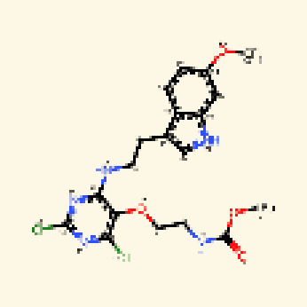 CC(C)(C)OC(=O)NCCOc1c(Cl)nc(Cl)nc1NCCc1c[nH]c2cc(OC(F)(F)F)ccc12